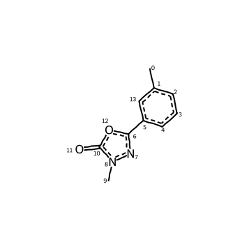 Cc1cccc(-c2nn(C)c(=O)o2)c1